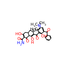 Cc1c(N(C)C)cc(C(=O)c2ccccc2)c(O)c1C(=O)C1=C(O)C2C(=O)C(C(N)=O)=C(O)CC2CC1C